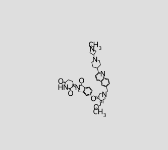 COC[C@@H]1CN(Cc2ccc3nc(C4CCN(C5CN(C)C5)CC4)ccc3c2)C[C@H]1Oc1ccc2c(c1)CN([C@H]1CCC(=O)NC1=O)C2=O